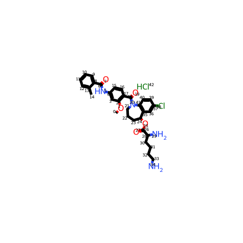 COc1cc(NC(=O)c2ccccc2C)ccc1C(=O)N1CCCC(OC(=O)C(N)CCCCN)c2cc(Cl)ccc21.Cl